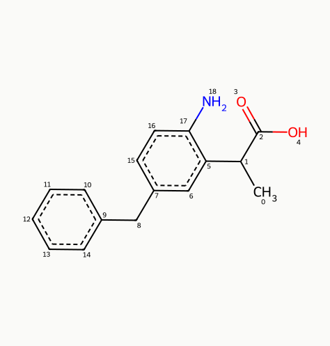 CC(C(=O)O)c1cc(Cc2ccccc2)ccc1N